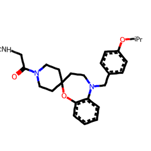 CC(=O)NCC(=O)N1CCC2(CC1)CCN(Cc1ccc(OC(C)C)cc1)c1ccccc1O2